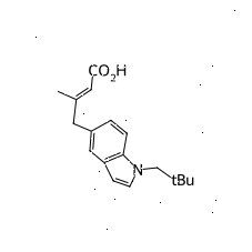 CC(=CC(=O)O)Cc1ccc2c(ccn2CC(C)(C)C)c1